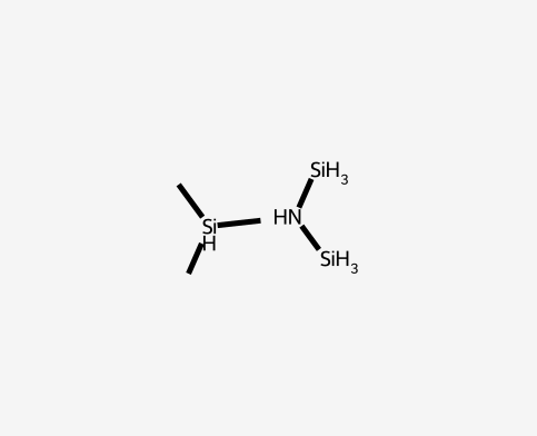 C[SiH](C)C.[SiH3]N[SiH3]